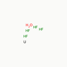 F.F.F.F.O.[U]